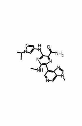 CNc1nc(Nc2cnn(C(C)C)c2)c(C(N)=O)nc1-c1cncc2c1ncn2C